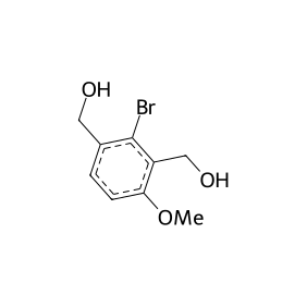 COc1ccc(CO)c(Br)c1CO